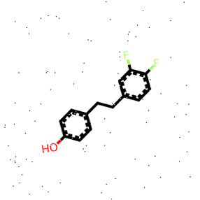 Oc1ccc(CCc2ccc(F)c(F)c2)cc1